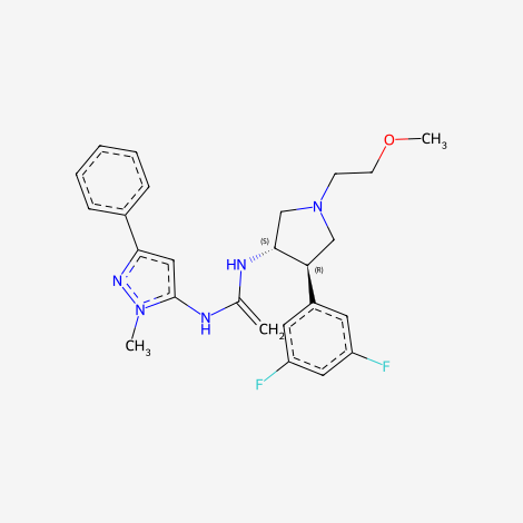 C=C(Nc1cc(-c2ccccc2)nn1C)N[C@@H]1CN(CCOC)C[C@H]1c1cc(F)cc(F)c1